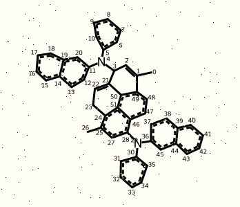 CC1=CC(N(c2ccccc2)c2ccc3ccccc3c2)C2=CCc3c(C)cc(N(c4ccccc4)c4ccc5ccccc5c4)c4ccc1c2c34